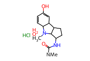 CNC(=O)NC1CCC2C3C=C(O)C=CC3N(C)C12.Cl.O